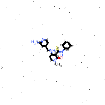 CN1CCC(NCc2ccnc(N)c2)=C(C(=S)Nc2ccccc2)C1=O